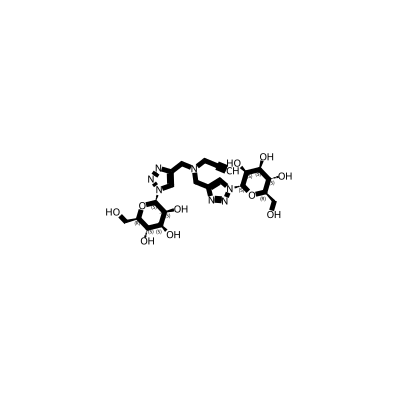 C#CCN(Cc1cn([C@H]2O[C@H](CO)[C@@H](O)[C@H](O)[C@@H]2O)nn1)Cc1cn([C@H]2O[C@H](CO)[C@@H](O)[C@H](O)[C@@H]2O)nn1